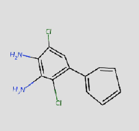 Nc1c(Cl)cc(-c2ccccc2)c(Cl)c1N